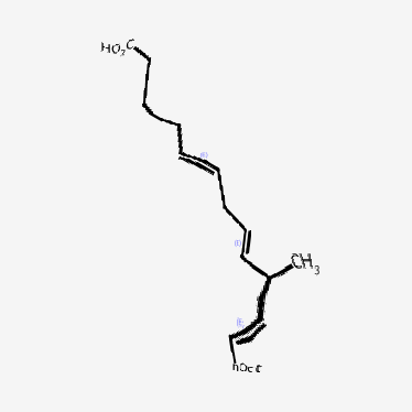 CCCCCCCC/C=C/C(C)/C=C/C/C=C/CCCC(=O)O